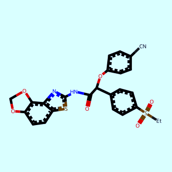 CCS(=O)(=O)c1ccc(C(Oc2ccc(C#N)cc2)C(=O)Nc2nc3c4c(ccc3s2)OCO4)cc1